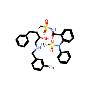 CS(=O)(=O)N(c1ccccc1)c1ccccc1C(=O)NS(=O)(=O)C[C@@H](Cc1ccccc1)[C@@H](O)CNCc1cccc(C(F)(F)F)c1